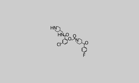 O=C(NCC1CCNCC1)c1cc(Cl)ccc1OCC(=O)N1CCC(C(=O)c2ccc(F)cc2)CC1